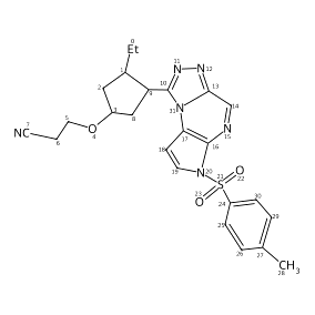 CCC1CC(OCCC#N)CC1c1nnc2cnc3c(ccn3S(=O)(=O)c3ccc(C)cc3)n12